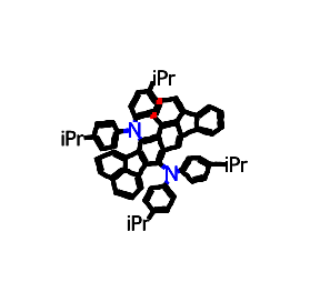 CC(C)c1ccc(N(c2ccc(C(C)C)cc2)c2c3cc4c5ccccc5c5cccc(c3c(N(c3ccc(C(C)C)cc3)c3ccc(C(C)C)cc3)c3c6cccc7cccc(c23)c76)c54)cc1